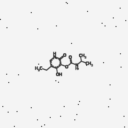 CCc1c[nH]c(=O)c(OC(=O)NC(C)C)c1O